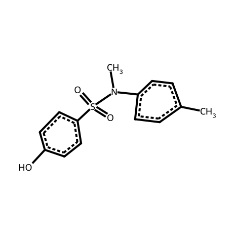 Cc1ccc(N(C)S(=O)(=O)c2ccc(O)cc2)cc1